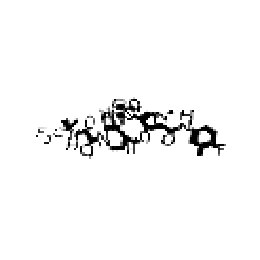 Cc1cc(NC(=O)c2c3c(cn2C)S(=O)(=O)N[C@@H]2CN(C(=O)C(=O)NC(C)(C)C(F)(F)F)CC[C@H]2CO3)ccc1F